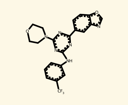 FC(F)(F)c1cccc(Nc2nc(-c3ccc4ocnc4c3)nc(N3CCOCC3)n2)c1